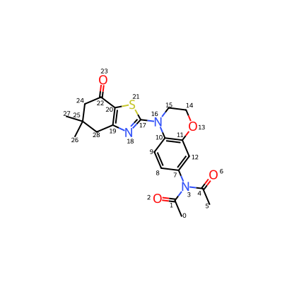 CC(=O)N(C(C)=O)c1ccc2c(c1)OCCN2c1nc2c(s1)C(=O)CC(C)(C)C2